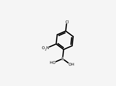 O=[N+]([O-])c1cc(Cl)ccc1B(O)O